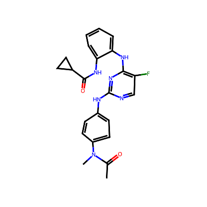 CC(=O)N(C)c1ccc(Nc2ncc(F)c(Nc3ccccc3NC(=O)C3CC3)n2)cc1